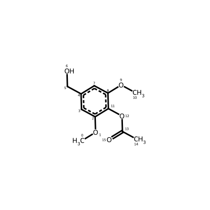 COc1cc(CO)cc(OC)c1OC(C)=O